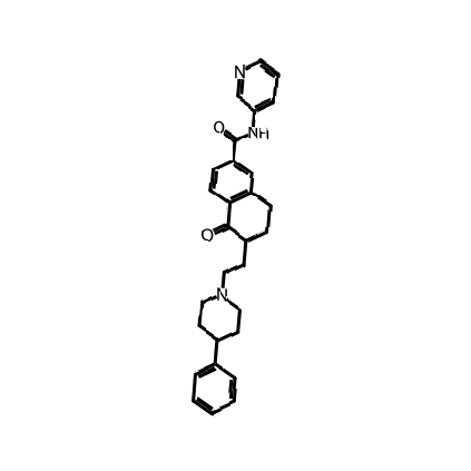 O=C(Nc1cccnc1)c1ccc2c(c1)CCC(CCN1CCC(c3ccccc3)CC1)C2=O